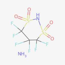 N.O=S1(=O)NS(=O)(=O)C(F)(F)C(F)(F)C1(F)F